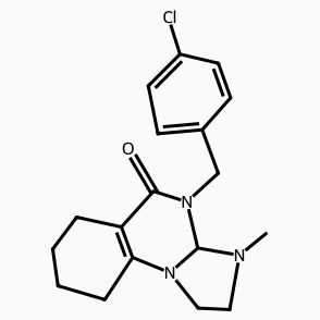 CN1CCN2C3=C(CCCC3)C(=O)N(Cc3ccc(Cl)cc3)C12